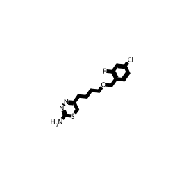 NC1=NN=C(CCCCOCc2ccc(Cl)cc2F)CS1